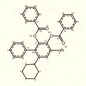 CCCc1cc(C2CCCCC2)c(-c2ccccc2)c(OC(=O)c2ccccc2)c1OC(=O)c1ccccc1